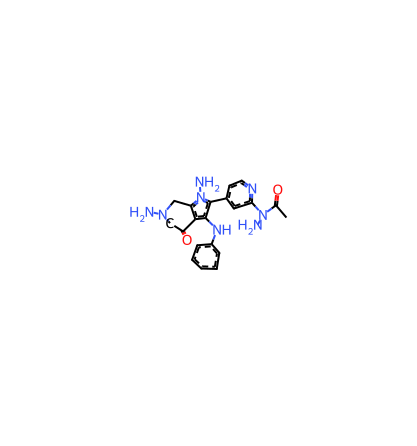 CC(=O)N(N)c1cc(-c2c(Nc3ccccc3)c3c(n2N)CN(N)CC3=O)ccn1